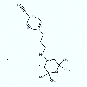 C#CC/C=C\C(=C/C)CCCNC1CC(C)(C)NC(C)(C)C1